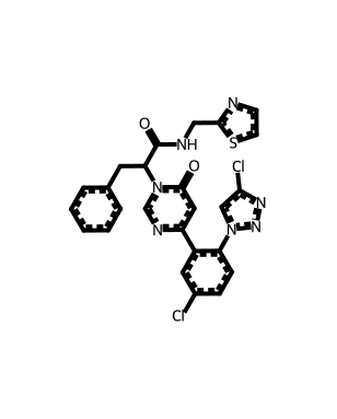 O=C(NCc1nccs1)C(Cc1ccccc1)n1cnc(-c2cc(Cl)ccc2-n2cc(Cl)nn2)cc1=O